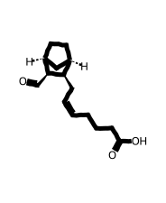 O=C[C@H]1[C@H]2CC[C@H](C2)[C@H]1C/C=C\CCCC(=O)O